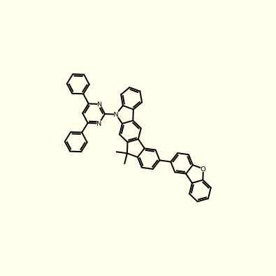 CC1(C)c2ccc(-c3ccc4oc5ccccc5c4c3)cc2-c2cc3c4ccccc4n(-c4nc(-c5ccccc5)cc(-c5ccccc5)n4)c3cc21